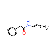 [CH2]C=CNC(=O)Cc1ccccc1